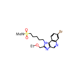 CCOCc1nc2cnc3cc(Br)ccc3c2n1CCCCCS(=O)(=O)NC